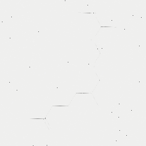 COC(C)OCOCC(C)CCCC(C)=O